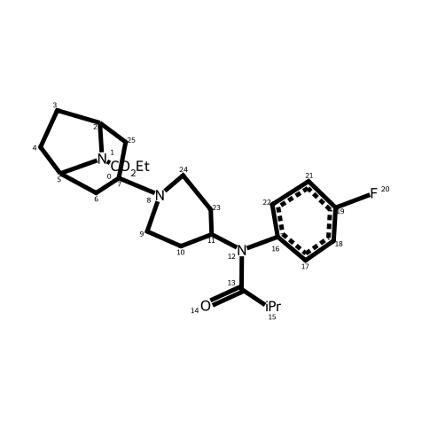 CCOC(=O)N1C2CCC1CC(N1CCC(N(C(=O)C(C)C)c3ccc(F)cc3)CC1)C2